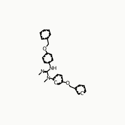 CN=C(Nc1ccc(OCc2ccccc2)cc1)N(C)c1ccc(OCc2ccccc2)cc1